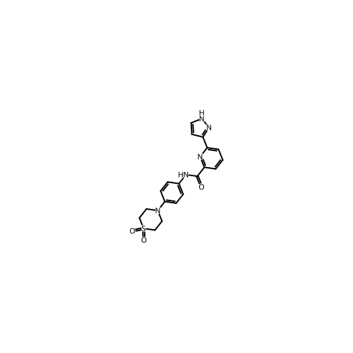 O=C(Nc1ccc(N2CCS(=O)(=O)CC2)cc1)c1cccc(-c2cc[nH]n2)n1